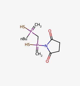 C=P(S)(CCCC)CP(=C)(S)N1C(=O)CCC1=O